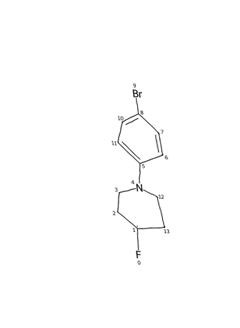 F[C]1CCN(c2ccc(Br)cc2)CC1